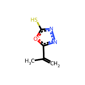 C=C(C)c1nnc(S)o1